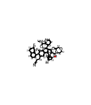 CNC(=O)c1ncccc1-c1nc2c(F)c(-c3cccc4ccc(F)cc34)c(CCC#N)cc2c2c1cc([C@@H](C)N1CCOCC1=O)n2[C@H]1[C@H]2CN[C@@H]1C2